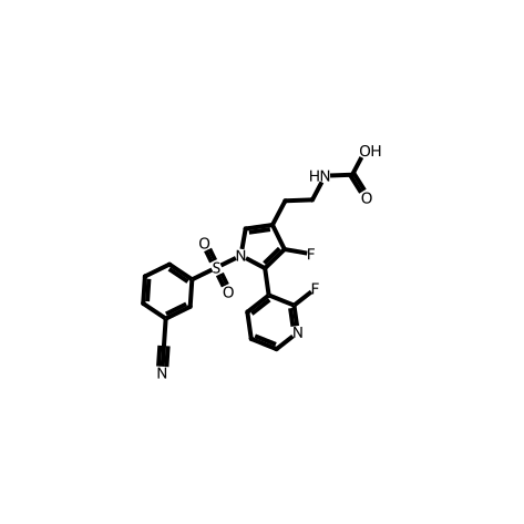 N#Cc1cccc(S(=O)(=O)n2cc(CCNC(=O)O)c(F)c2-c2cccnc2F)c1